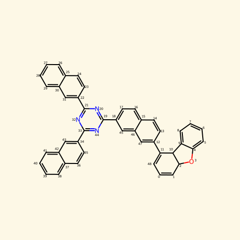 C1=CC2Oc3ccccc3C2C(c2ccc3ccc(-c4nc(-c5ccc6ccccc6c5)nc(-c5ccc6ccccc6c5)n4)cc3c2)=C1